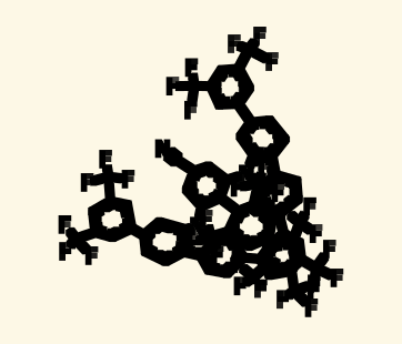 N#Cc1cc(-n2c3cc(-c4cc(C(F)(F)F)cc(C(F)(F)F)c4)ccc3c3ccc(-c4cc(C(F)(F)F)cc(C(F)(F)F)c4)cc32)c(-c2c(C(F)(F)F)cccc2C(F)(F)F)c(-n2c3cc(-c4cc(C(F)(F)F)cc(C(F)(F)F)c4)ccc3c3ccc(-c4cc(C(F)(F)F)cc(C(F)(F)F)c4)cc32)c1